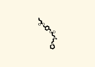 CCCC(=O)OCC1CCC(COC(=O)CCN(C)CCCN2CCCCC2)CC1